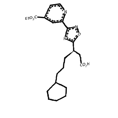 CCOC(=O)c1ccnc(-c2noc([C@H](CCCC3CCCCC3)CC(=O)O)n2)c1